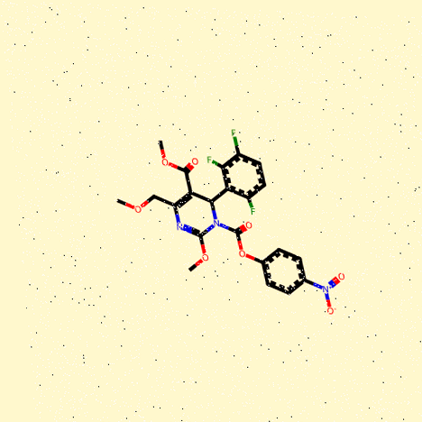 COCC1=C(C(=O)OC)C(c2c(F)ccc(F)c2F)N(C(=O)Oc2ccc([N+](=O)[O-])cc2)C(OC)=N1